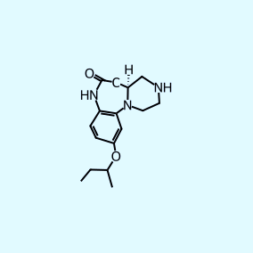 CCC(C)Oc1ccc2c(c1)N1CCNC[C@@H]1CC(=O)N2